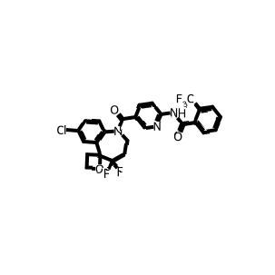 O=C(Nc1ccc(C(=O)N2CCC(F)(F)C3(CCO3)c3cc(Cl)ccc32)cn1)c1ccccc1C(F)(F)F